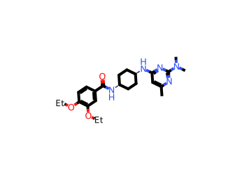 CCOc1ccc(C(=O)N[C@H]2CC[C@@H](Nc3cc(C)nc(N(C)C)n3)CC2)cc1OCC